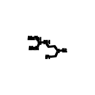 CCN(CCN[SiH](NC)NC)CC(C)C